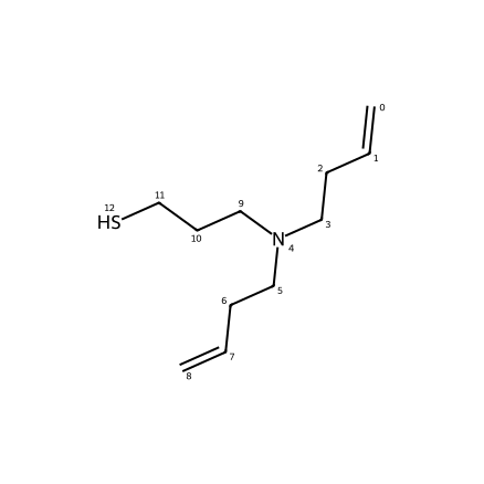 C=CCCN(CCC=C)CCCS